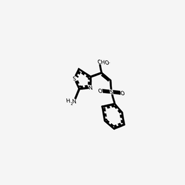 Nc1nc(C([C]=O)=CS(=O)(=O)c2ccccc2)cs1